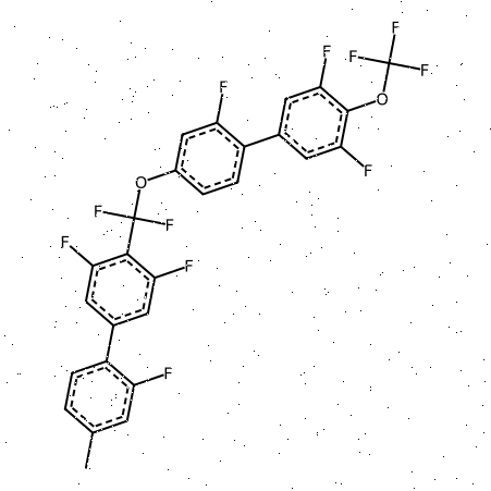 Cc1ccc(-c2cc(F)c(C(F)(F)Oc3ccc(-c4cc(F)c(OC(F)(F)F)c(F)c4)c(F)c3)c(F)c2)c(F)c1